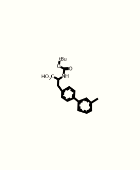 Cc1cccc(-c2ccc(CC(NC(=O)OC(C)(C)C)C(=O)O)cc2)c1